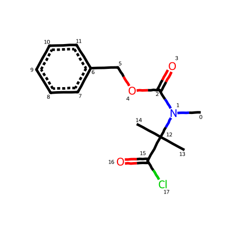 CN(C(=O)OCc1ccccc1)C(C)(C)C(=O)Cl